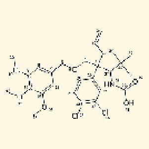 C=CCC(COCc1cc(OC)c(OC)c(OC)c1)(c1ccc(Cl)c(Cl)c1)C(NC(=O)O)C(C)(C)C